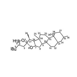 BOC1(CCC(C)CC)OC2CC3C4CCC5CC(C)CCC5(C)C4CCC3(C)C2[C@@H]1C